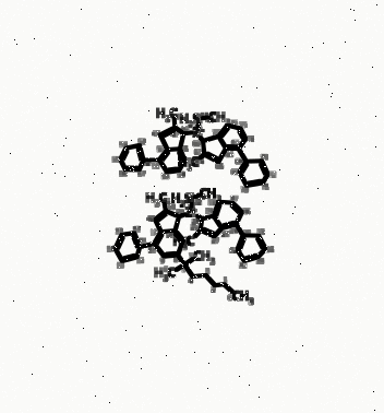 CCCCCC(C)(C)c1cc(-c2ccccc2)c2c(c1)[CH]([Zr]([SiH2]C)[CH]1C(C)=Cc3c(-c4ccccc4)cccc31)C(C)=C2.C[SiH2][Zr]([CH]1C(C)=Cc2c(-c3ccccc3)cccc21)[CH]1C(C)=Cc2c(-c3ccccc3)cccc21